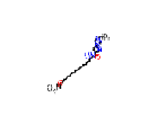 CC(C)CN1CCN(c2ccc(C(=O)NCCCCCCCCCCCCCCCCCO[N+](=O)[O-])cn2)CC1